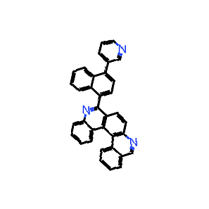 c1cncc(-c2ccc(-c3nc4ccccc4c4c3ccc3ncc5ccccc5c34)c3ccccc23)c1